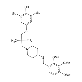 COc1ccc(CSC2CCN(CC(C)(C)CSc3cc(C(C)(C)C)c(O)c(C(C)(C)C)c3)CC2)c(OC)c1OC